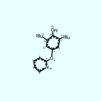 CC(C)(C)c1cc(Oc2ccc[c]n2)cc(C(C)(C)C)c1O